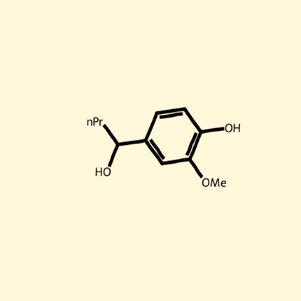 CCCC(O)c1ccc(O)c(OC)c1